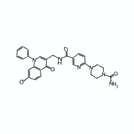 NC(=O)N1CCN(c2ccc(C(=O)NCc3cn(-c4ccccc4)c4cc(Cl)ccc4c3=O)cn2)CC1